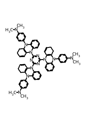 CN(C)c1ccc(N2C3=C(C=CCC3)N(c3nc(N4C5=C(CCC=C5)N(c5ccc(N(C)C)cc5)c5ccccc54)nc(N4C5=C(CCC=C5)N(c5ccc(N(C)C)cc5)c5ccccc54)n3)c3ccccc32)cc1